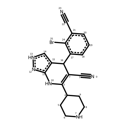 N#CC1=C(C2CCNCC2)Nc2n[nH]cc2C1c1cccc(C#N)c1Br